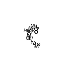 CC(=O)N(C)C1CCN(CCCS(=O)(=O)N2CCC(Nc3nc(N)c(C(=O)c4c(F)cccc4F)s3)CC2)C1